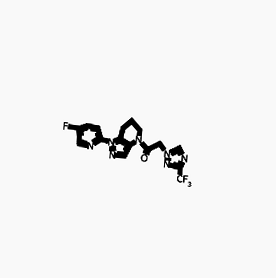 O=C(Cn1cnc(C(F)(F)F)n1)N1CCCc2c1cnn2-c1ccc(F)cn1